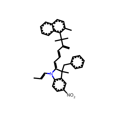 C=C(/C=C/C=C1/N(/C=C/C)c2ccc([N+](=O)[O-])cc2C1(C)Cc1ccccc1)C(C)(C)c1c(C)ccc2ccccc12